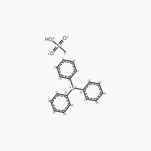 CS(=O)(=O)O.c1ccc([S+](c2ccccc2)c2ccccc2)cc1